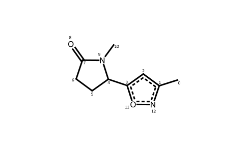 Cc1cc(C2CCC(=O)N2C)on1